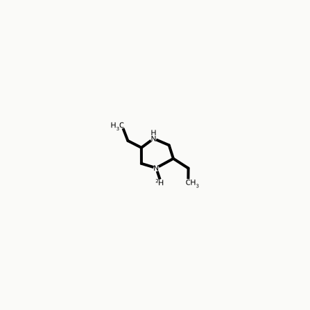 [2H]N1CC(CC)NCC1CC